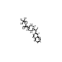 CC(c1ccc2cccnc2c1)N1CCN(C(=O)OC(C)(C)C)CC1